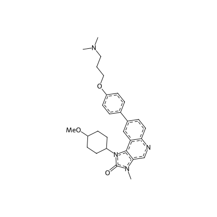 COC1CCC(n2c(=O)n(C)c3cnc4ccc(-c5ccc(OCCCN(C)C)cc5)cc4c32)CC1